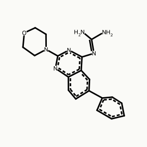 NC(N)=Nc1nc(N2CCOCC2)nc2ccc(-c3ccccc3)cc12